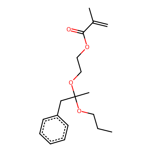 C=C(C)C(=O)OCCOC(C)(Cc1ccccc1)OCCC